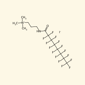 C[N+](C)(C)CCCNC(=O)C(F)(F)C(F)(F)C(F)(F)C(F)(F)C(F)(F)C(F)(F)C(F)(F)F.[I-]